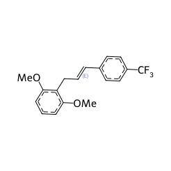 COc1cccc(OC)c1C/C=C/c1ccc(C(F)(F)F)cc1